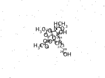 CC(=O)N/C(=C(\OC(C)=O)C(CCOC(C)=O)OC(C)=O)C(O)SCCCCCCO